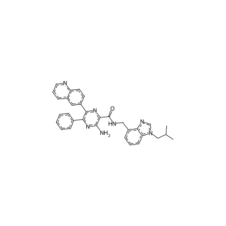 CC(C)Cn1cnc2c(CNC(=O)c3nc(-c4ccc5ncccc5c4)c(-c4ccccc4)nc3N)cccc21